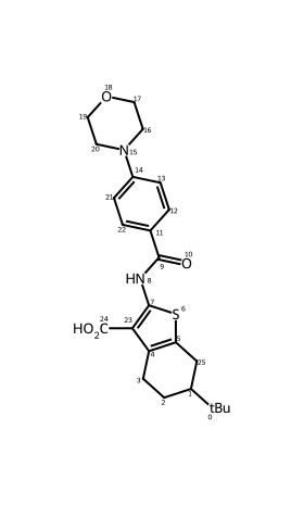 CC(C)(C)C1CCc2c(sc(NC(=O)c3ccc(N4CCOCC4)cc3)c2C(=O)O)C1